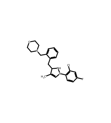 CC1=CN(c2ccc(F)cc2Cl)NC1Cc1ccccc1CN1CCOCC1